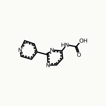 O=C(O)Nc1ccnc(-c2ccncc2)n1